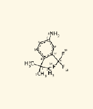 CC(C)(C)c1ccc(N)cc1C(F)(F)F